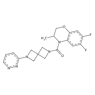 CC1COc2cc(F)c(F)cc2N1C(=O)N1CC2(C1)CN(c1cccnn1)C2